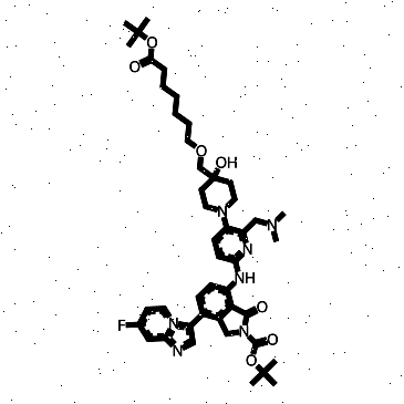 CN(C)Cc1nc(Nc2ccc(-c3cnc4cc(F)ccn34)c3c2C(=O)N(C(=O)OC(C)(C)C)C3)ccc1N1CCC(O)(COCCCCCCC(=O)OC(C)(C)C)CC1